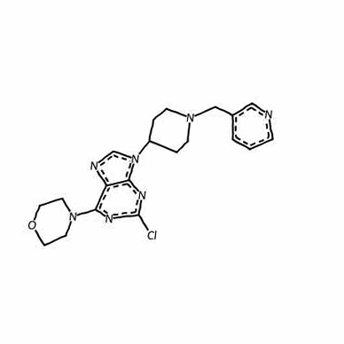 Clc1nc(N2CCOCC2)c2ncn(C3CCN(Cc4cccnc4)CC3)c2n1